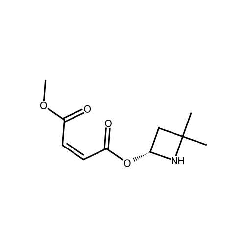 COC(=O)/C=C\C(=O)O[C@@H]1CC(C)(C)N1